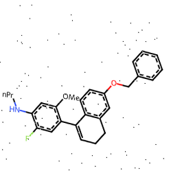 CCCNc1cc(OC)c(C2=CCCc3cc(OCc4ccccc4)ccc32)cc1F